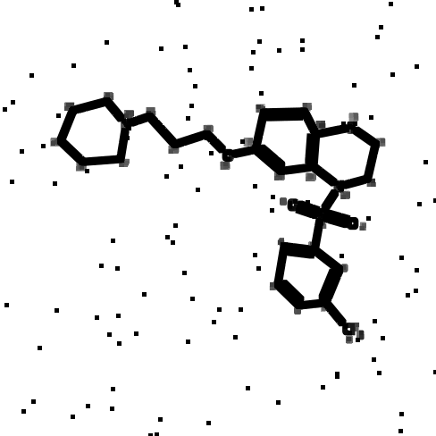 O=S(=O)(c1cccc(C(F)(F)F)c1)N1CCSc2ccc(OCCCN3CCCCC3)cc21